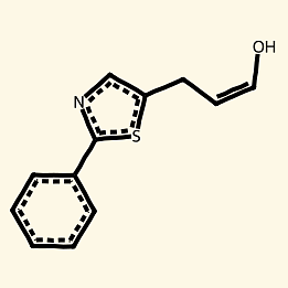 O/C=C\Cc1cnc(-c2ccccc2)s1